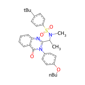 CCCCOc1ccc(-n2c(C(C)N(C)S(=O)(=O)c3ccc(C(C)(C)C)cc3)nc3ccccc3c2=O)cc1